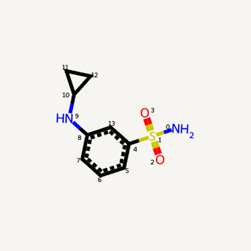 NS(=O)(=O)c1cccc(NC2CC2)c1